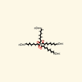 CCCCCCCCCCCCCCCCC[C](=O)[Ti]([C](=O)CCCCCCCCCCCCCCCCC)([C](=O)CCCCCCCCCCCCCCCCC)[C](=O)CCCCCCCCCCCCCCCCC